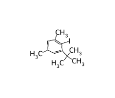 Cc1cc(C)c(I)c(C(C)(C)C)c1